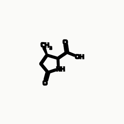 C[C@@H]1CC(=O)NC1C(=O)O